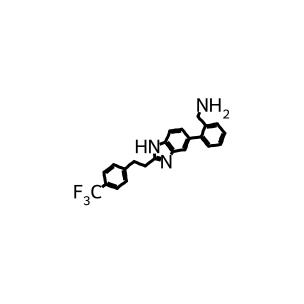 NCc1ccccc1-c1ccc2[nH]c(CCc3ccc(C(F)(F)F)cc3)nc2c1